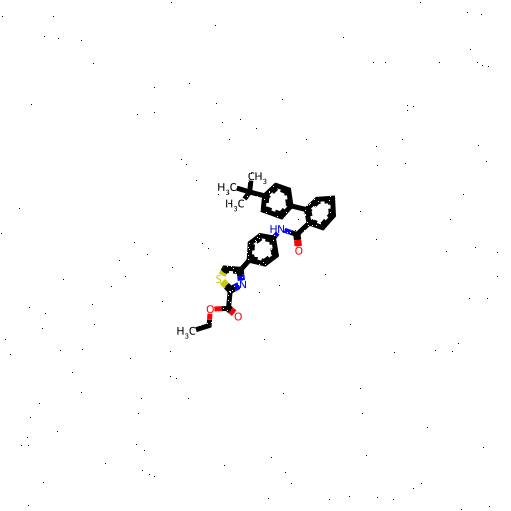 CCOC(=O)c1nc(-c2ccc(NC(=O)c3ccccc3-c3ccc(C(C)(C)C)cc3)cc2)cs1